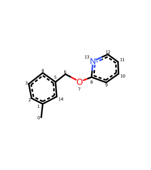 Cc1cccc(COc2ccccn2)c1